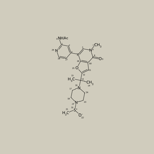 CC(=O)Nc1cc(-c2cn(C)c(=O)c3cc(C(C)(C)N4CCN([S+](C)[O-])CC4)oc23)ccn1